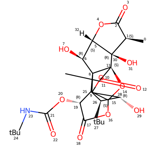 C[C@@H]1C(=O)O[C@H]2[C@H](O)C34C5OC(=O)[C@@]3(OC3OC(=O)[C@H](OC(=O)NC(C)(C)C)C34[C@H](C(C)(C)C)[C@H]5O)[C@@]12O